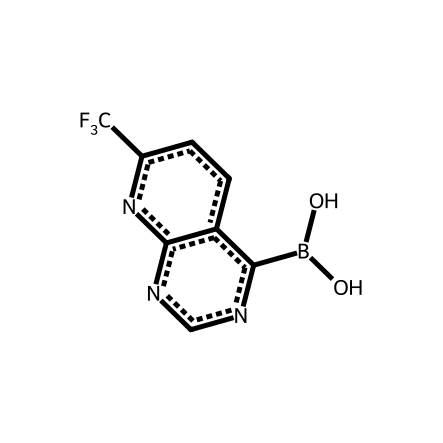 OB(O)c1ncnc2nc(C(F)(F)F)ccc12